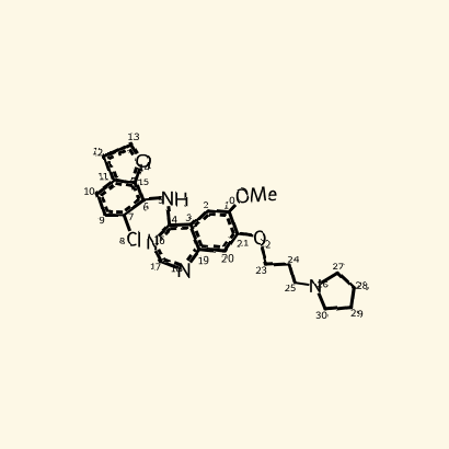 COc1cc2c(Nc3c(Cl)ccc4ccoc34)ncnc2cc1OCCCN1CCCC1